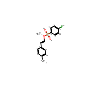 Cc1ccc(C=COS(=O)(=O)c2ccc(F)cc2)cc1.[Te]